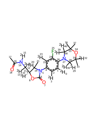 [2H]c1c([2H])c(N2C(=O)O[C@@]([2H])(C([2H])([2H])N([2H])C(C)=O)C2([2H])C)c([2H])c(F)c1N1C([2H])([2H])C([2H])(C)OC(C)(C)C1([2H])[2H]